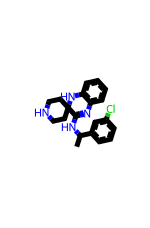 CC(NC1=Nc2ccccc2NC12CCNCC2)c1cccc(Cl)c1